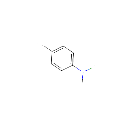 O=C(O)N(Cl)c1ccc([N+](=O)[O-])cc1